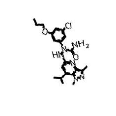 CCCOc1cc(Cl)cc(N(Nc2cc(C(C)C)c3c(n2)c(C)nn3C)C(N)=O)c1